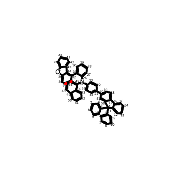 c1ccc(C2(c3ccccc3)c3ccccc3-c3ccc(-c4ccc(N(c5ccccc5-c5cccc6oc7ccccc7c56)c5cccc6ccccc56)cc4)cc32)cc1